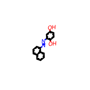 Oc1ccc(O)c(N=Nc2cccc3ccccc23)c1